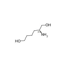 N[C@H](CO)CCCCO